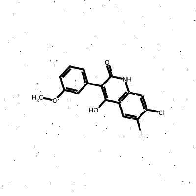 COc1cccc(-c2c(O)c3cc(I)c(Cl)cc3[nH]c2=O)c1